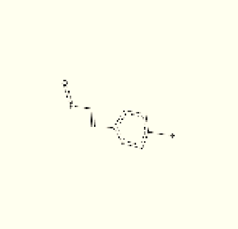 O=PC=Cc1ccc(F)cc1